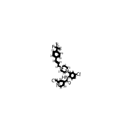 O=C(Nc1ccc(Cl)cc1N1CCN(CC=Cc2ccc(C(F)(F)F)cc2)CC1)c1ccnc(Cl)c1